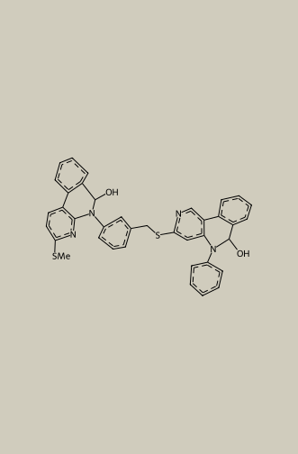 CSc1ccc2c(n1)N(c1cccc(CSc3cc4c(cn3)-c3ccccc3C(O)N4c3ccccc3)c1)C(O)c1ccccc1-2